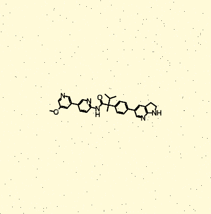 COc1cncc(-c2ccc(NC(=O)C(C)(c3ccc(-c4cnc5c(c4)CCN5)cc3)C(C)C)nc2)c1